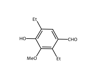 CCc1cc(C=O)c(CC)c(OC)c1O